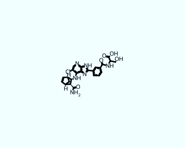 NC(=O)[C@@H]1[C@H](Nc2c(Cl)cnc3[nH]c(-c4cccc(C(=O)NC(CO)C(=O)O)c4)nc23)[C@H]2C=C[C@@H]1C2